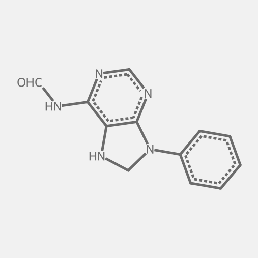 O=CNc1ncnc2c1NCN2c1ccccc1